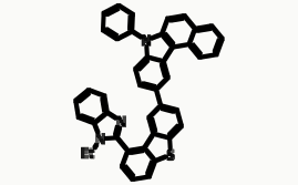 CCn1c(-c2cccc3sc4ccc(-c5ccc6c(c5)c5c7ccccc7ccc5n6-c5ccccc5)cc4c23)nc2ccccc21